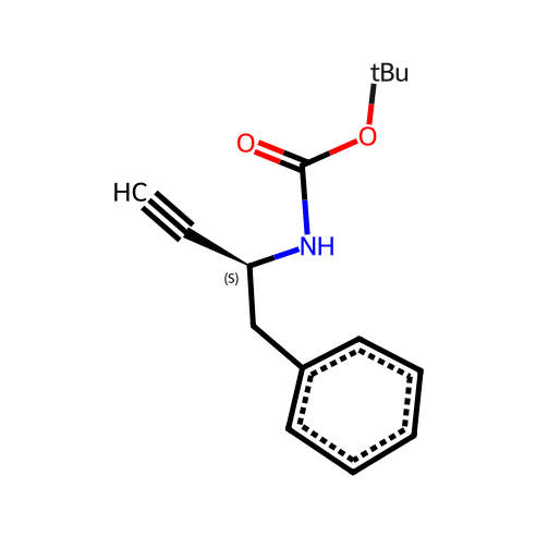 C#C[C@H](Cc1ccccc1)NC(=O)OC(C)(C)C